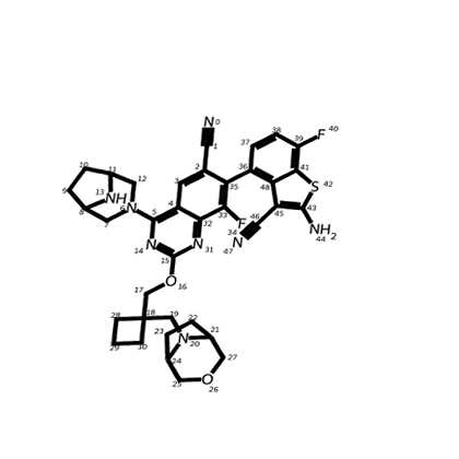 N#Cc1cc2c(N3CC4CCC(C3)N4)nc(OCC3(CN4C5CCC4COC5)CCC3)nc2c(F)c1-c1ccc(F)c2sc(N)c(C#N)c12